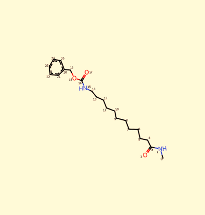 CNC(=O)CCCCCCCCCCCNC(=O)OCc1ccccc1